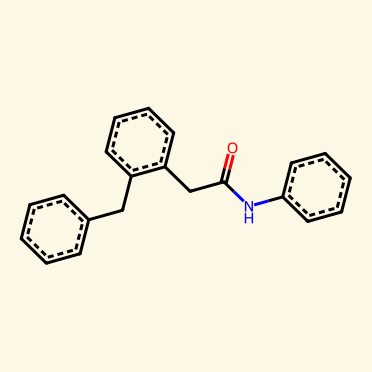 O=C(Cc1ccccc1Cc1ccccc1)Nc1ccccc1